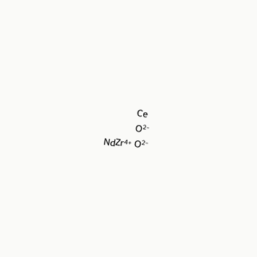 [Ce].[Nd].[O-2].[O-2].[Zr+4]